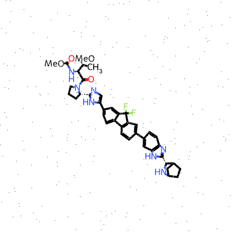 COC(=O)N[C@H](C(=O)N1CCC[C@H]1c1ncc(-c2ccc3c(c2)C(F)(F)c2cc(-c4ccc5nc([C@H]6NC7CCC6C7)[nH]c5c4)ccc2-3)[nH]1)[C@@H](C)OC